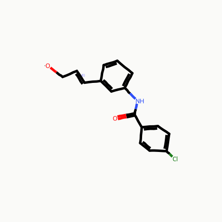 [O]C/C=C/c1cccc(NC(=O)c2ccc(Cl)cc2)c1